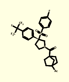 CC(=O)C12CCC(C(=O)N3CC[C@](c4ccc(C(F)(C(F)(F)F)C(F)(F)F)cc4)(S(=O)(=O)c4ccc(F)cc4)C3)(CC1)C2